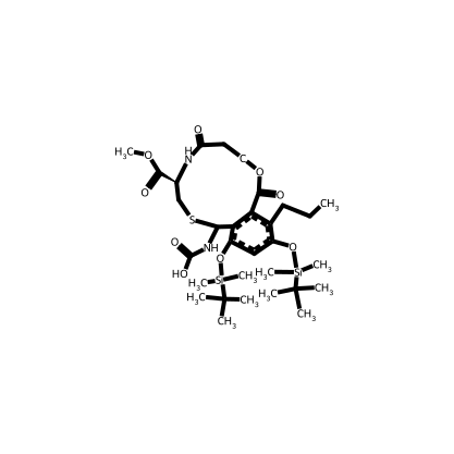 CCCc1c(O[Si](C)(C)C(C)(C)C)cc(O[Si](C)(C)C(C)(C)C)c2c1C(=O)OCCC(=O)N[C@H](C(=O)OC)CSC2NC(=O)O